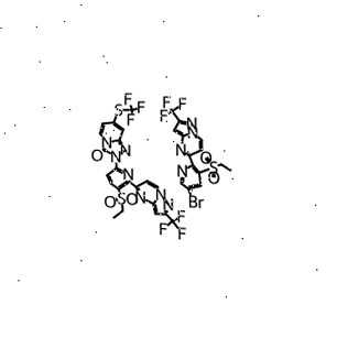 CCS(=O)(=O)c1cc(Br)cnc1-c1ccn2nc(C(F)(F)F)cc2n1.CCS(=O)(=O)c1ccc(-n2nc3cc(SC(F)(F)F)ccn3c2=O)nc1-c1ccn2nc(C(F)(F)F)cc2n1